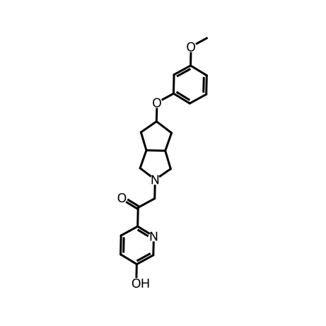 COc1cccc(OC2CC3CN(CC(=O)c4ccc(O)cn4)CC3C2)c1